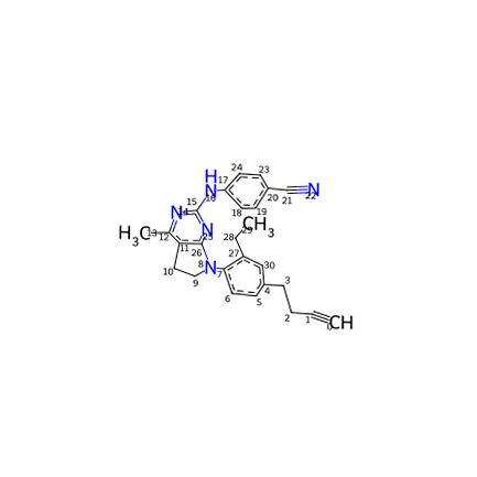 C#CCCc1ccc(N2CCc3c(C)nc(Nc4ccc(C#N)cc4)nc32)c(CC)c1